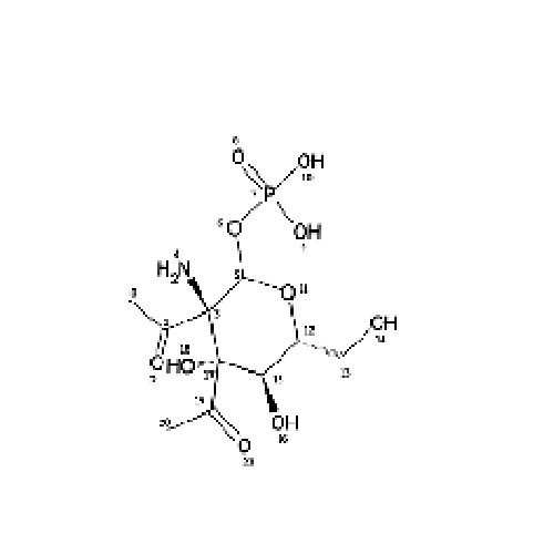 CC(=O)[C@]1(N)C(OP(=O)(O)O)O[C@H](CO)[C@@H](O)[C@@]1(O)C(C)=O